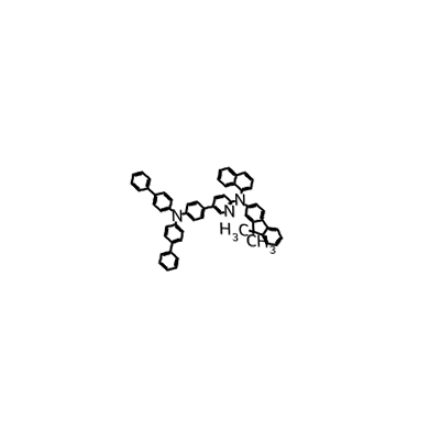 CC1(C)c2ccccc2-c2ccc(N(c3ccc(-c4ccc(N(c5ccc(-c6ccccc6)cc5)c5ccc(-c6ccccc6)cc5)cc4)cn3)c3cccc4ccccc34)cc21